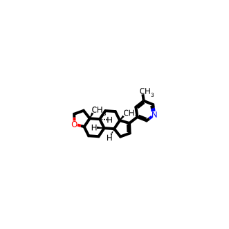 Cc1cncc(C2=CC[C@H]3[C@@H]4CCC5OCC[C@]5(C)[C@H]4CC[C@]23C)c1